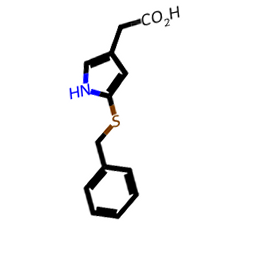 O=C(O)Cc1c[nH]c(SCc2ccccc2)c1